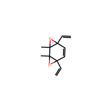 C=CC12C=CC3(C=C)OC3(C)C1(C)O2